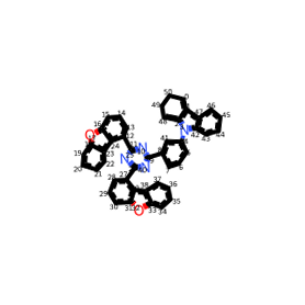 C1=c2c(n(-c3cccc(-c4nc(-c5cccc6oc7ccccc7c56)nc(-c5cccc6oc7ccccc7c56)n4)c3)c3ccccc23)=CCC1